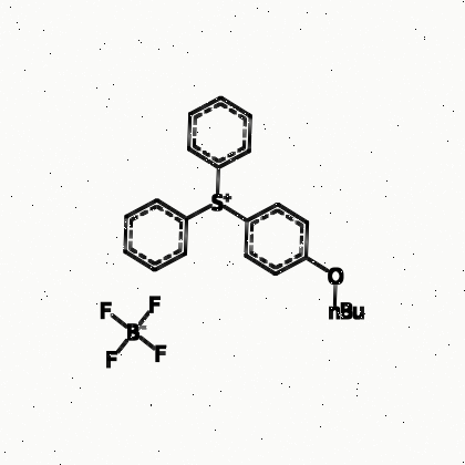 CCCCOc1ccc([S+](c2ccccc2)c2ccccc2)cc1.F[B-](F)(F)F